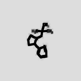 CC(C)(C)CN1CCCC1c1ccccn1